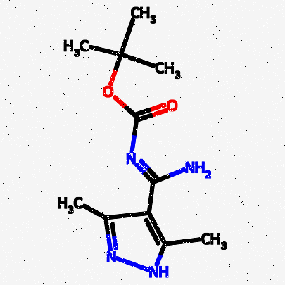 Cc1n[nH]c(C)c1C(N)=NC(=O)OC(C)(C)C